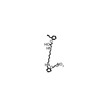 C=CCc1ccccc1OCC(O)CNCCCCCCCCNCc1ccccc1OCCO[N+](=O)[O-]